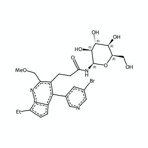 CCc1ccc2c(-c3cncc(Br)c3)c(CCC(=O)N[C@@H]3O[C@H](CO)[C@H](O)[C@@H](O)[C@@H]3O)c(COC)nn12